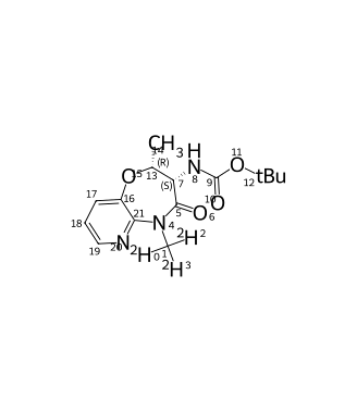 [2H]C([2H])([2H])N1C(=O)[C@@H](NC(=O)OC(C)(C)C)[C@@H](C)Oc2cccnc21